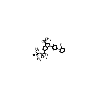 CN(CC(C)(C)O)C(=O)c1ccc2c([S+](C)[O-])cn(-c3ncc(-c4ccccc4F)cn3)c2c1